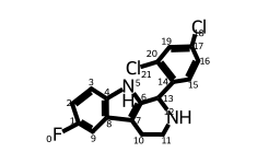 Fc1ccc2[nH]c3c(c2c1)CCNC3c1ccc(Cl)cc1Cl